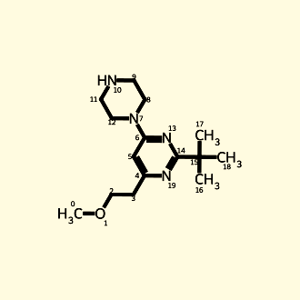 COCCc1cc(N2CCNCC2)nc(C(C)(C)C)n1